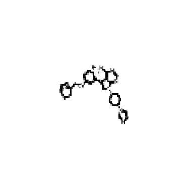 Nc1ncnc2c1c(-c1cccc(OCC34CCC(CC3)O4)c1)cn2[C@H]1CC[C@H](n2ccnc2)CC1